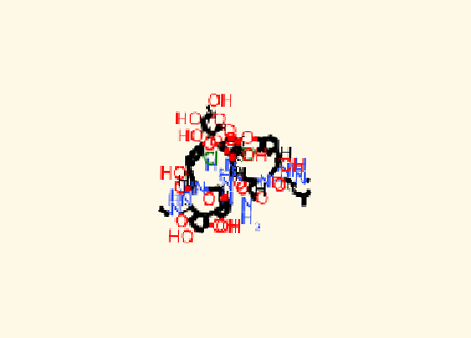 CCNC(=O)[C@H]1NC(=O)[C@H]2NC(=O)[C@H](NC(=O)[C@@H]3NC(=O)[C@H](CC(N)=O)NC(=O)C(NC(=O)[C@@H](CC(C)C)NC)[C@H](O)c4ccc(c(Cl)c4)Oc4cc3cc(c4O[C@@H]3O[C@H](CO)[C@@H](O)[C@H](O)[C@H]3O[C@H]3C[C@](C)(N)[C@H](O)[C@H](C)O3)Oc3ccc(cc3Cl)[C@H]2O)c2ccc(O)c(c2)-c2c(O)cc(O)cc21